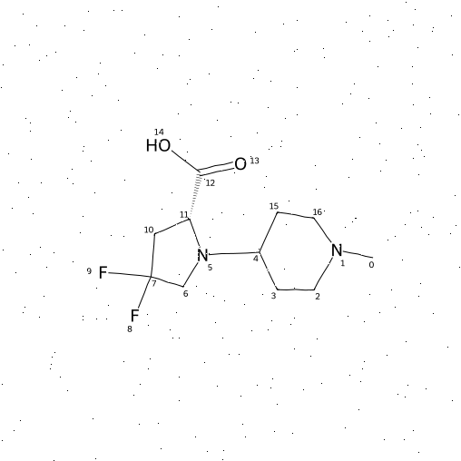 CN1CCC(N2CC(F)(F)C[C@@H]2C(=O)O)CC1